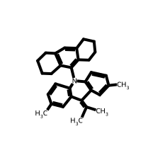 CC(C)=C1c2cc(C)ccc2N(c2c3c(cc4c2CCCC4)CCCC3)c2ccc(C)cc21